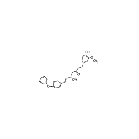 COc1cc(CCC(=O)CC(O)C=Cc2ccc(Oc3ccccc3)cc2)ccc1O